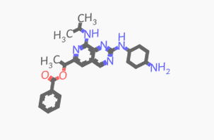 CC(C)Nc1nc(C(C)OC(=O)c2ccccc2)cc2cnc(NC3CCC(N)CC3)nc12